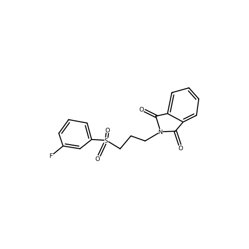 O=C1c2ccccc2C(=O)N1CCCS(=O)(=O)c1cccc(F)c1